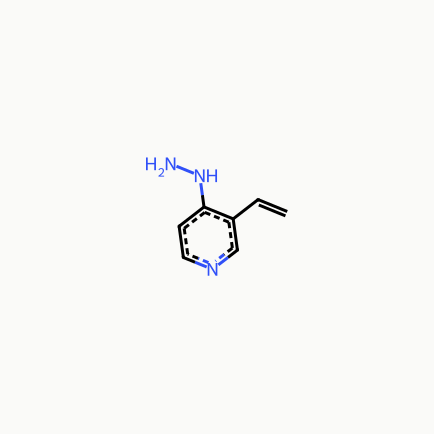 C=Cc1cnccc1NN